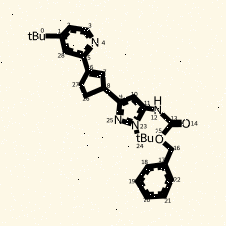 CC(C)(C)c1ccnc(C2=CC(c3cc(NC(=O)OCc4ccccc4)n(C(C)(C)C)n3)CC2)c1